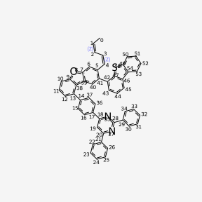 C/C=C\C=C/c1cc2oc3cccc(-c4ccc(-c5cc(-c6ccccc6)nc(-c6ccccc6)n5)cc4)c3c2cc1-c1cccc2c1sc1ccccc12